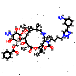 CC[C@H]1OC(=O)[C@H](C)C(=O)[C@@H](C)[C@H](OC2O[C@H](COC(=O)c3ccccc3)[C@@H](O)[C@H](N)[C@H]2O)[C@](C)(OC)C[C@@H](C)CN[C@H](C)[C@H]2N(CCCCn3cc(-c4cccc(N)c4)nn3)C(=O)O[C@]12C